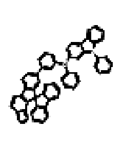 c1ccc(N(c2cccc(-c3ccc4c(c3)C3(c5ccccc5-c5ccccc53)c3c-4ccc4ccccc34)c2)c2ccc3c4ccccc4n(-c4ccccc4)c3c2)cc1